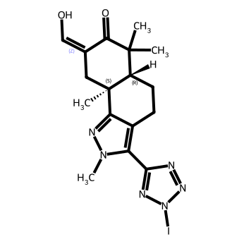 Cn1nc2c(c1-c1nnn(I)n1)CC[C@H]1C(C)(C)C(=O)/C(=C\O)C[C@]21C